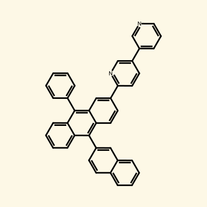 c1ccc(-c2c3ccccc3c(-c3ccc4ccccc4c3)c3ccc(-c4ccc(-c5cccnc5)cn4)cc23)cc1